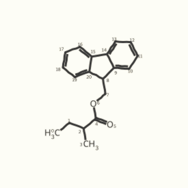 CCC(C)C(=O)OCC1c2ccccc2-c2ccccc21